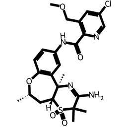 COCc1cc(Cl)cnc1C(=O)Nc1ccc2c(c1)[C@@]1(C)N=C(N)C(C)(C)S(=O)(=O)[C@@H]1C[C@H](C)O2